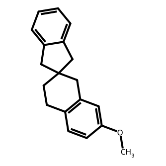 COc1ccc2c(c1)CC1(CC2)Cc2ccccc2C1